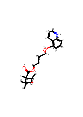 CC(C)C(C)(C(=O)OCCCCOc1cccc2ncccc12)C(C)(C)C